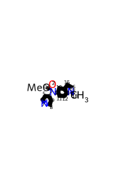 COC(=O)N(c1ccncc1)c1ccc2c(ccn2C)c1